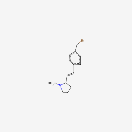 O=C(O)N1CCCC1C=Cc1ccc(CBr)cc1